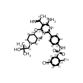 CC(=N)c1c(N)nc(-c2ccc(NS(=O)(=O)c3cc(Cl)ccc3F)cc2)nc1O[C@@H]1CCN(CC(C)(C)O)C[C@@H]1F